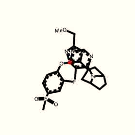 COCc1noc(C2CC3CCC(C2)N3c2ncnc(Oc3ccc(S(C)(=O)=O)cc3F)c2C)n1